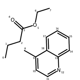 CCCC(=O)OCC.Cc1ccnc2ccccc12